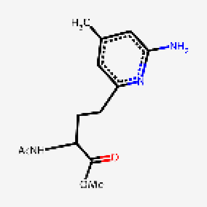 COC(=O)C(CCc1cc(C)cc(N)n1)NC(C)=O